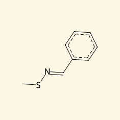 CSN=Cc1ccccc1